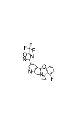 O=C1c2cc(-c3noc(C(F)(F)F)n3)cnc2CN1C1(c2ccccc2F)CC1